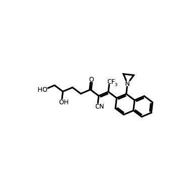 N#C/C(C(=O)CCC(O)CO)=C(\c1ccc2ccccc2c1N1CC1)C(F)(F)F